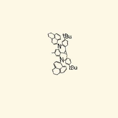 Cc1cc2c3c(c1)N(c1ccc4c5c(cccc15)CCC4)c1cc(C(C)(C)C)ccc1C1C(=C31)c1ccc(C(C)(C)C)cc1N2c1ccc2c3c(cccc13)CCC2